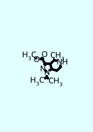 COC(=O)C1=NN(C(C)C)C2CCN[C@H](C)C12